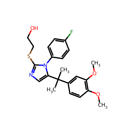 COc1ccc(C(C)(C)c2cnc(SCCO)n2-c2ccc(F)cc2)cc1OC